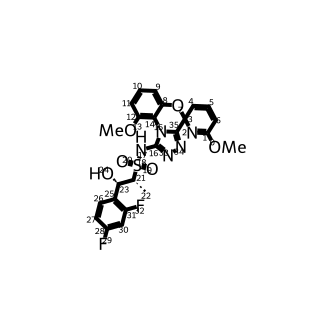 COC1=NC2(C=C=C1)Oc1cccc(OC)c1-n1c(NS(=O)(=O)[C@H](C)[C@@H](O)c3ccc(F)cc3F)nnc12